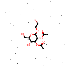 CC(=O)O[C@H]1[C@H](O)[C@@H](CO)OC(OCCBr)[C@H]1OC(C)=O